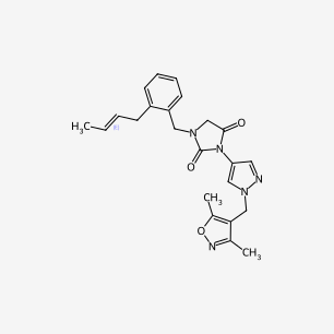 C/C=C/Cc1ccccc1CN1CC(=O)N(c2cnn(Cc3c(C)noc3C)c2)C1=O